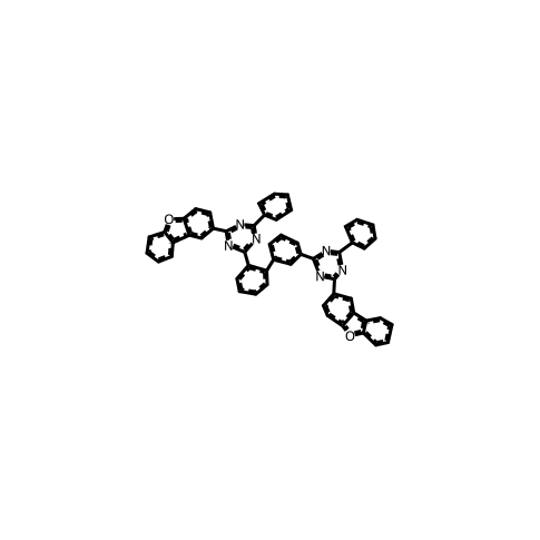 c1ccc(-c2nc(-c3cccc(-c4ccccc4-c4nc(-c5ccccc5)nc(-c5ccc6oc7ccccc7c6c5)n4)c3)nc(-c3ccc4oc5ccccc5c4c3)n2)cc1